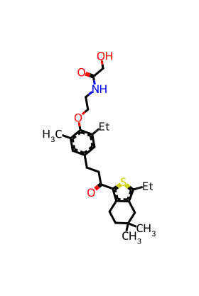 CCc1cc(CCC(=O)c2sc(CC)c3c2CCC(C)(C)C3)cc(C)c1OCCNC(=O)CO